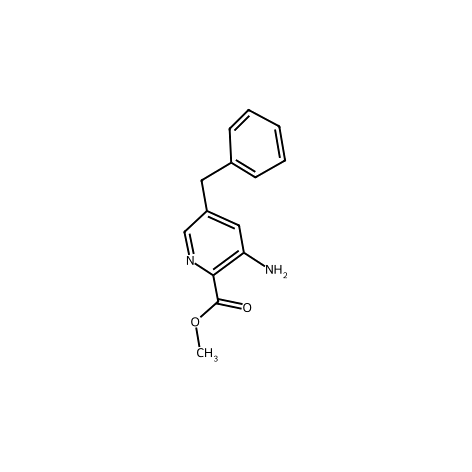 COC(=O)c1ncc(Cc2ccccc2)cc1N